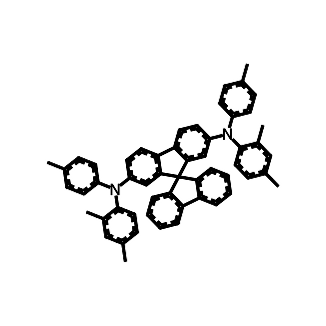 Cc1ccc(N(c2ccc3c(c2)C2(c4ccccc4-c4ccccc42)c2cc(N(c4ccc(C)cc4)c4ccc(C)cc4C)ccc2-3)c2ccc(C)cc2C)cc1